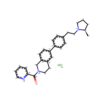 C[C@@H]1CCCN1CCc1ccc(-c2ccc3c(c2)CCN(C(=O)c2ccccn2)C3)cc1.Cl